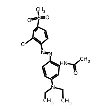 CCN(CC)c1ccc(N=Nc2ccc(S(C)(=O)=O)cc2Cl)c(NC(C)=O)c1